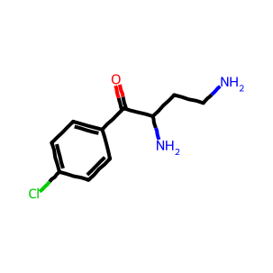 NCCC(N)C(=O)c1ccc(Cl)cc1